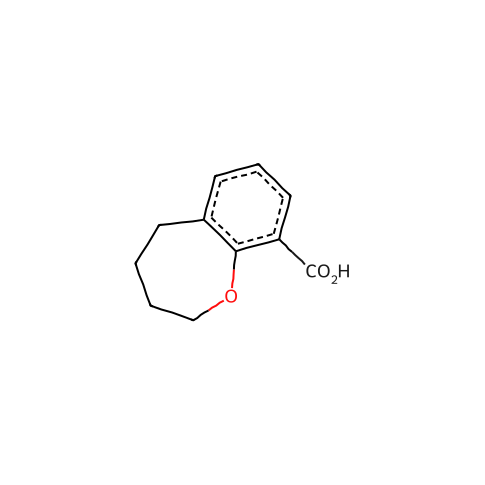 O=C(O)c1cccc2c1OCCCC2